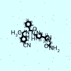 C[C@H](CN[C@H](C(=O)Nc1ccc(-c2cnn(CC(N)=O)c2)cn1)c1ccccc1)c1ccc(C#N)cc1